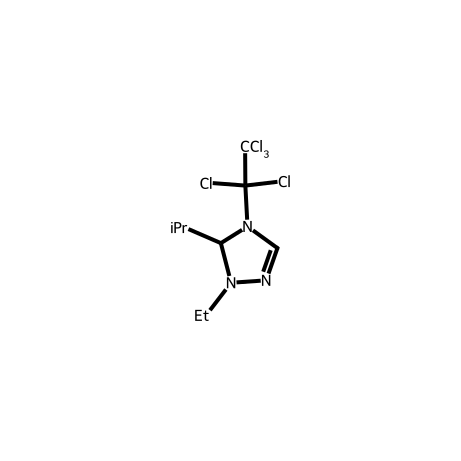 CCN1N=CN(C(Cl)(Cl)C(Cl)(Cl)Cl)C1C(C)C